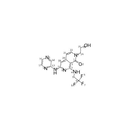 O=c1c2c(NCC(F)(F)F)nc(Nc3cnccn3)cc2ccn1CCO